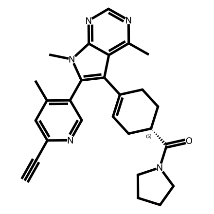 C#Cc1cc(C)c(-c2c(C3=CC[C@@H](C(=O)N4CCCC4)CC3)c3c(C)ncnc3n2C)cn1